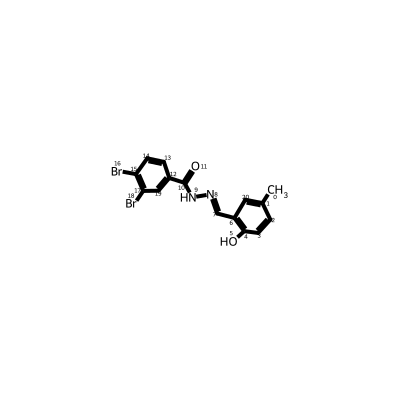 Cc1ccc(O)c(C=NNC(=O)c2ccc(Br)c(Br)c2)c1